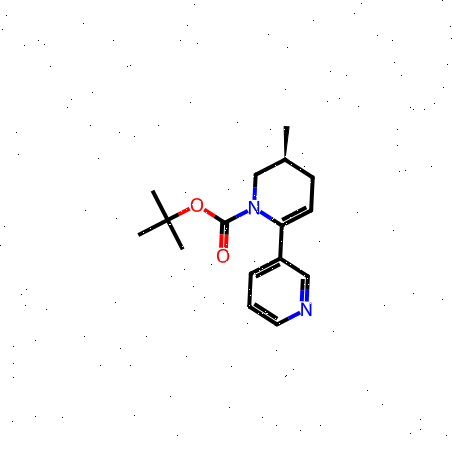 C[C@H]1CC=C(c2cccnc2)N(C(=O)OC(C)(C)C)C1